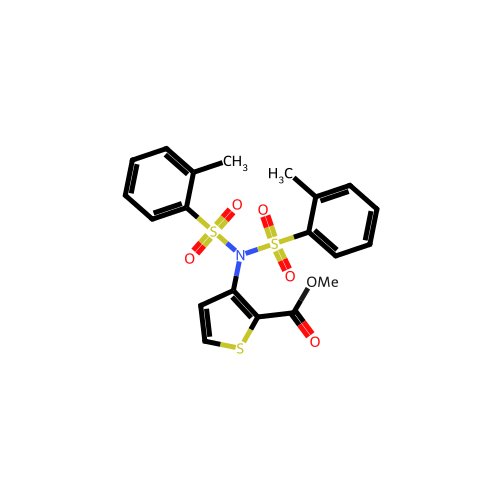 COC(=O)c1sccc1N(S(=O)(=O)c1ccccc1C)S(=O)(=O)c1ccccc1C